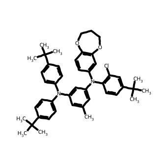 Cc1cc(N(c2ccc(C(C)(C)C)cc2)c2ccc(C(C)(C)C)cc2)cc(N(c2ccc3c(c2)OCCCO3)c2ccc(C(C)(C)C)cc2Cl)c1